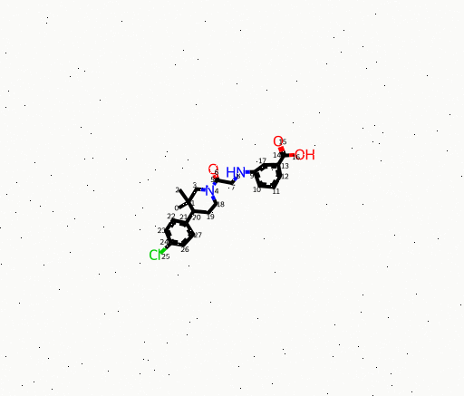 CC1(C)CN(C(=O)CNc2cccc(C(=O)O)c2)CCC1c1ccc(Cl)cc1